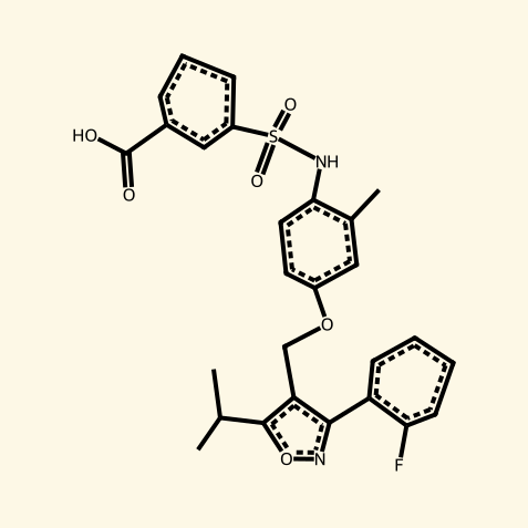 Cc1cc(OCc2c(-c3ccccc3F)noc2C(C)C)ccc1NS(=O)(=O)c1cccc(C(=O)O)c1